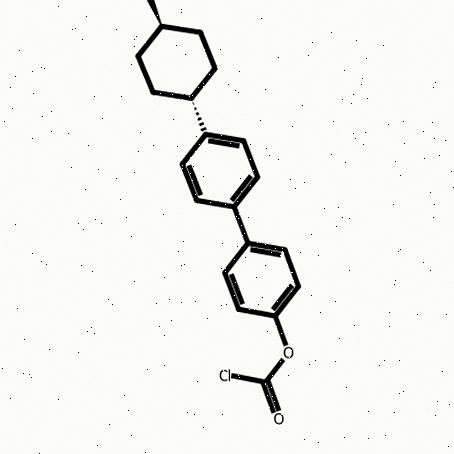 CCCCC[C@H]1CC[C@H](c2ccc(-c3ccc(OC(=O)Cl)cc3)cc2)CC1